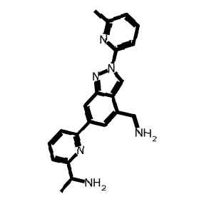 Cc1cccc(-n2cc3c(CN)cc(-c4cccc(C(C)N)n4)cc3n2)n1